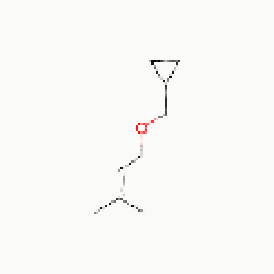 CC(C)=CCOCC1CC1